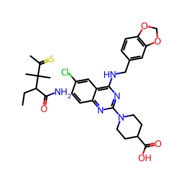 CCC(C(N)=O)C(C)(C)C(C)=S.O=C(O)C1CCN(c2nc(NCc3ccc4c(c3)OCO4)c3cc(Cl)ccc3n2)CC1